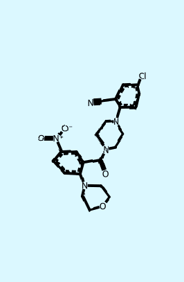 N#Cc1cc(Cl)ccc1N1CCN(C(=O)c2cc([N+](=O)[O-])ccc2N2CCOCC2)CC1